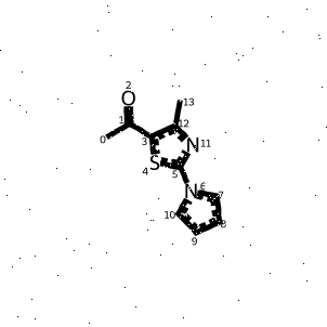 CC(=O)c1sc(-n2cccc2)nc1C